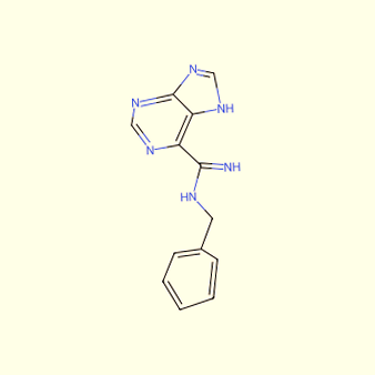 N=C(NCc1ccccc1)c1ncnc2nc[nH]c12